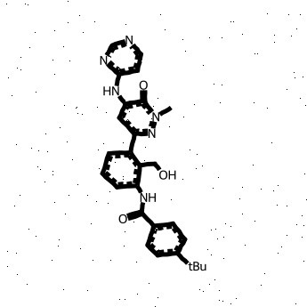 Cn1nc(-c2cccc(NC(=O)c3ccc(C(C)(C)C)cc3)c2CO)cc(Nc2ccncn2)c1=O